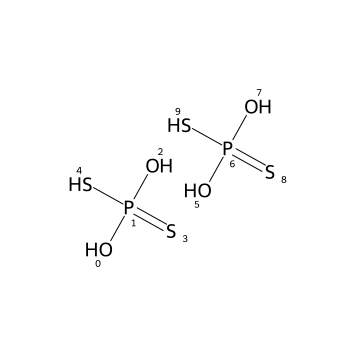 OP(O)(=S)S.OP(O)(=S)S